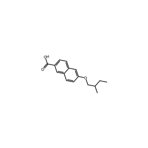 CCC(C)COc1ccc2cc(C(=O)O)ccc2c1